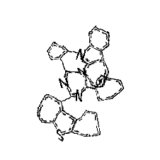 c1ccc(-c2nc(-c3ccccc3-n3c4ccccc4c4ccccc43)nc(-c3cccc4sc5ccccc5c34)n2)cc1